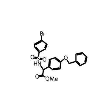 COC(=O)C(NS(=O)(=O)c1ccc(Br)cc1)c1ccc(OCc2ccccc2)cc1